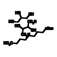 CCCCCCCCCCCCCCCCCC(=O)O.O=C(O)C(O)C(O)C(=O)O.OCC(O)CO